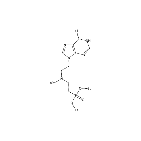 CCCN(CCn1cnc2c1N=CNC2Cl)CCP(=O)(OCC)OCC